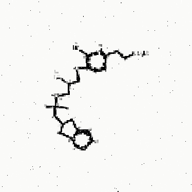 CCOC(=O)CCc1ccc(OC[C@H](O)CNC(C)(C)CC2Cc3ccccc3C2)c(C#N)n1